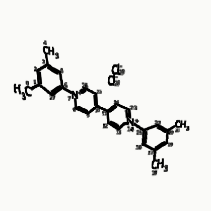 Cc1cc(C)cc(-[n+]2ccc(-c3cc[n+](-c4cc(C)cc(C)c4)cc3)cc2)c1.[Cl-].[Cl-]